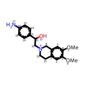 COc1cc2c(cc1OC)CN(CC(O)c1ccc(N)cc1)CC2